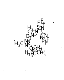 Cc1nc(CO[Si](C)(C)C(C)(C)C)n(CC(=O)N2CCN(c3sc(C(F)(F)F)nc3-c3cnc(C(F)(F)F)nc3)C[C@H]2C)n1